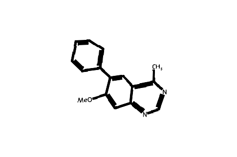 COc1cc2ncnc(C)c2cc1-c1ccccc1